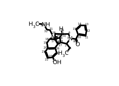 CCC1C2C3[C@@H](CN1C(=O)c1ccccc1)CC31C3Cc4ccc(O)cc4C21CCN3CCNC